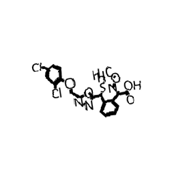 CON=C(C(=O)O)c1ccccc1C(S)c1nnc(COc2ccc(Cl)cc2Cl)o1